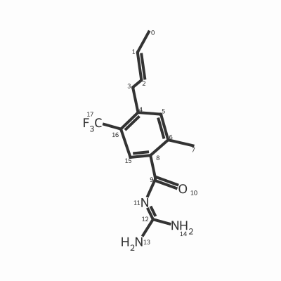 CC=CCc1cc(C)c(C(=O)N=C(N)N)cc1C(F)(F)F